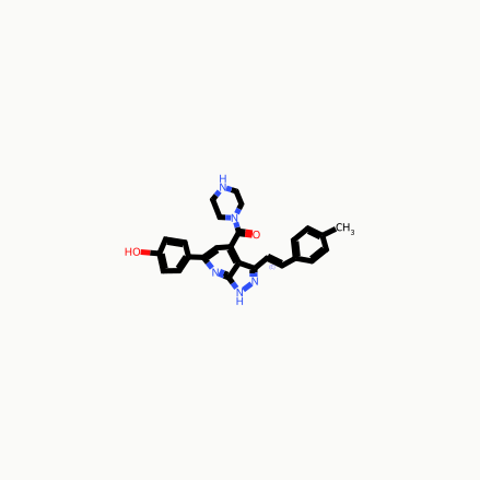 Cc1ccc(/C=C/c2n[nH]c3nc(-c4ccc(O)cc4)cc(C(=O)N4CCNCC4)c23)cc1